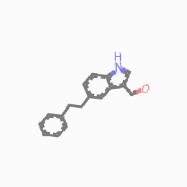 O=Cc1c[nH]c2ccc(CCc3ccccc3)cc12